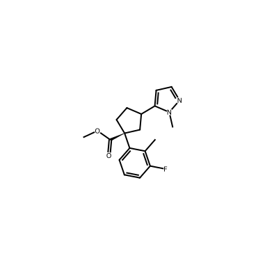 COC(=O)[C@@]1(c2cccc(F)c2C)CCC(c2ccnn2C)C1